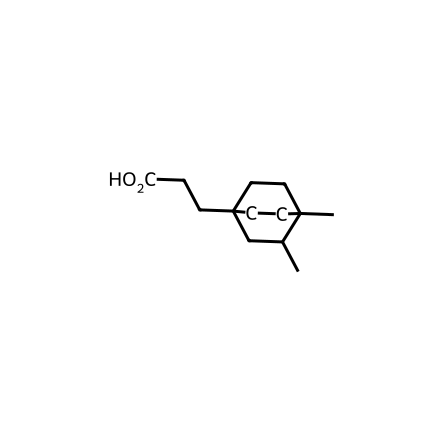 CC1CC2(CCC(=O)O)CCC1(C)CC2